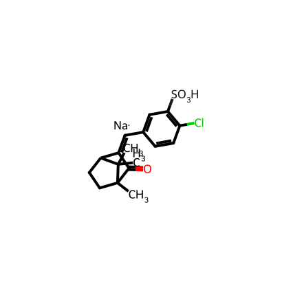 CC12CCC(C(=Cc3ccc(Cl)c(S(=O)(=O)O)c3)C1=O)C2(C)C.[Na]